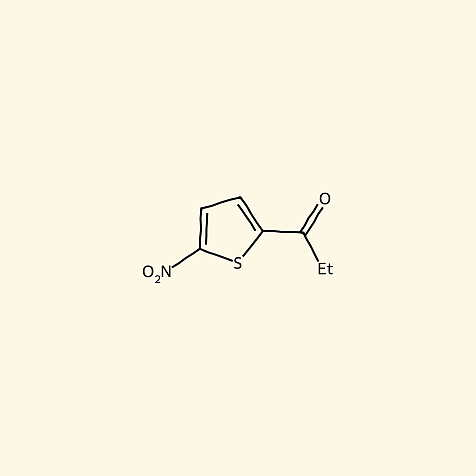 CCC(=O)c1ccc([N+](=O)[O-])s1